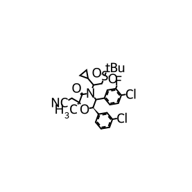 CC(C)(C)S(=O)(=O)CC(C1CC1)N1C(=O)[C@@](C)(CC#N)O[C@H](c2cccc(Cl)c2)C1c1ccc(Cl)c(F)c1